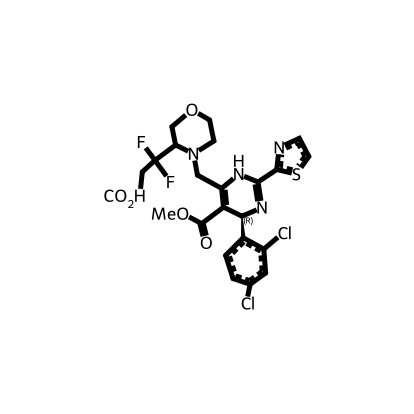 COC(=O)C1=C(CN2CCOCC2C(F)(F)CC(=O)O)NC(c2nccs2)=N[C@H]1c1ccc(Cl)cc1Cl